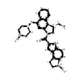 CN1CCN(Oc2cc3c(c4ccccc24)[C@H](CBr)CN3C(=O)c2cc3c4c(ccc3[nH]2)N(C)CC4)CC1